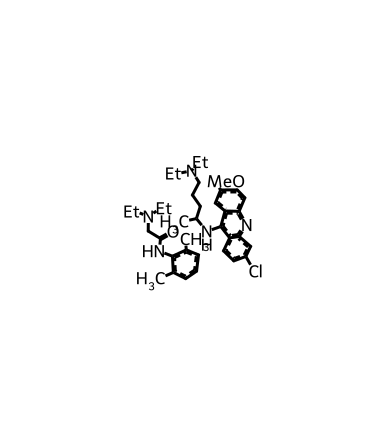 CCN(CC)CC(=O)Nc1c(C)cccc1C.CCN(CC)CCCC(C)Nc1c2ccc(Cl)cc2nc2ccc(OC)cc12